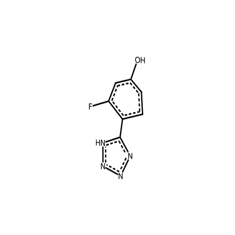 Oc1ccc(-c2nnn[nH]2)c(F)c1